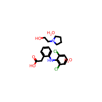 O.O.O=C(O)Cc1ccccc1Nc1c(Cl)cccc1Cl.OCCN1CCCC1